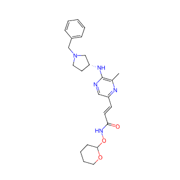 Cc1nc(/C=C/C(=O)NOC2CCCCO2)cnc1N[C@@H]1CCN(Cc2ccccc2)C1